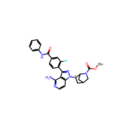 CC(C)(C)OC(=O)N1CC2CC1[C@H](n1nc(-c3ccc(C(=O)Nc4ccccc4)cc3F)c3c(N)nccc31)C2